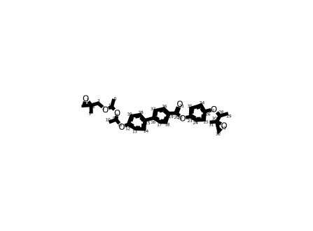 CC(OCC1(C)CO1)OC(C)Oc1ccc(-c2ccc(C(=O)Oc3ccc(OC(C)C4(C)CO4)cc3)cc2)cc1